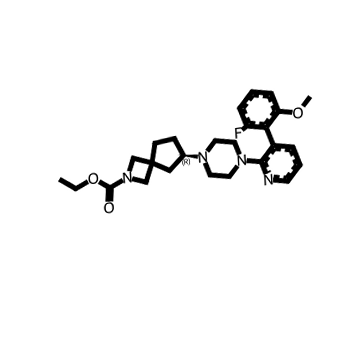 CCOC(=O)N1CC2(CC[C@@H](N3CCN(c4ncccc4-c4c(F)cccc4OC)CC3)C2)C1